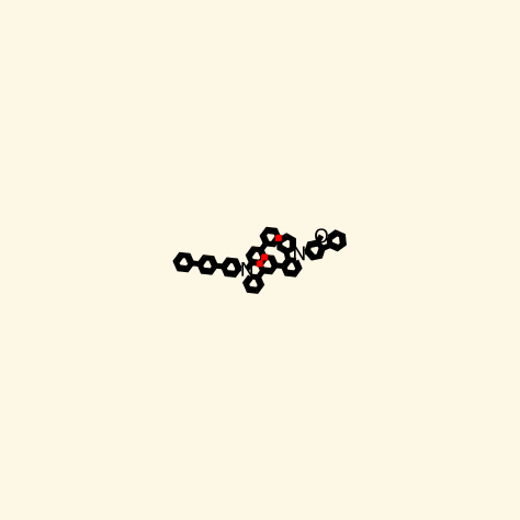 c1ccc(-c2ccc(-c3ccc(N(c4ccc(-c5ccccc5)cc4)c4ccccc4-c4cccc(-c5cccc6c5c5ccccc5n6-c5ccc6c(c5)oc5ccccc56)c4)cc3)cc2)cc1